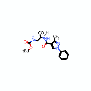 CC(C)(C)OC(=O)NCC(NC(=O)c1cn(-c2ccccc2)nc1C(F)(F)F)C(=O)O